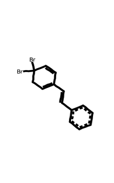 BrC1(Br)C=CC(/C=C/c2ccccc2)=CC1